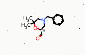 CC1(C)CN(Cc2ccccc2)C[C@@H](C=O)O1